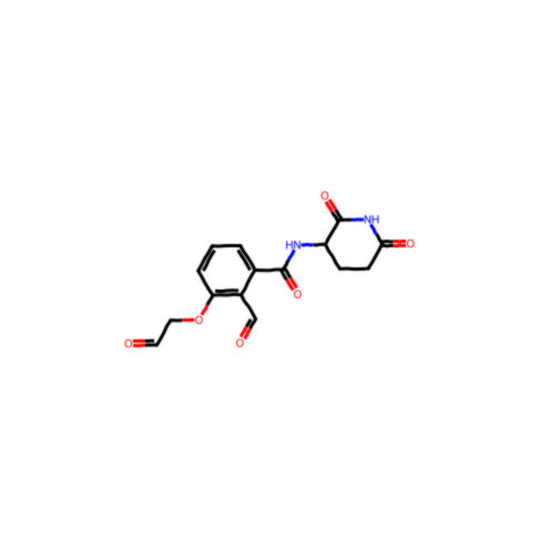 O=CCOc1cccc(C(=O)NC2CCC(=O)NC2=O)c1C=O